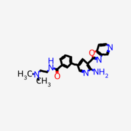 CN(C)CCNC(=O)c1cccc(-c2cnc(N)c(-c3nc4cnccc4o3)c2)c1